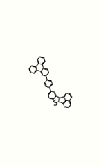 C1=c2c(c3ccccc3c3ccccc23)=CC(c2ccc(-c3ccc4sc5c(c4c3)-c3cccc4cccc-5c34)cc2)C1